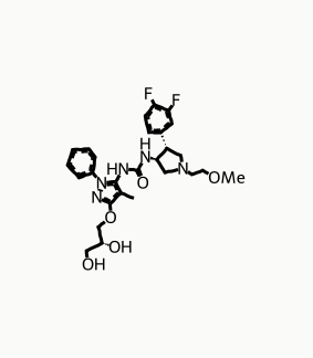 COCCN1C[C@@H](NC(=O)Nc2c(C)c(OC[C@H](O)CO)nn2-c2ccccc2)[C@H](c2ccc(F)c(F)c2)C1